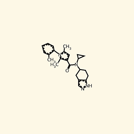 Cc1ccccc1-n1c(C)cc(C(=O)N(C2CC2)C2CCc3[nH]ncc3C2)c1C